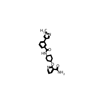 Cn1cc(-c2cccc(C(=O)N[C@H]3CC[C@H](Oc4ncccc4C(N)=O)CC3)c2)cn1